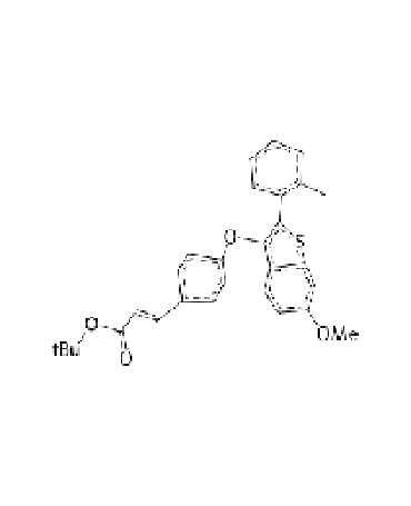 COc1ccc2c(Oc3ccc(/C=C/C(=O)OC(C)(C)C)cc3)c(-c3ccccc3C)sc2c1